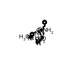 Cn1ccnc1COC(=O)N1CCN(C(=O)C(N)CCc2ccccc2)C(C(=O)NCc2ccc3c(c2)nnn3C)C1